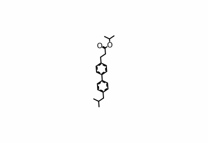 CC(C)Cc1ccc(-c2ccc(CCC(=O)OC(C)C)cc2)cc1